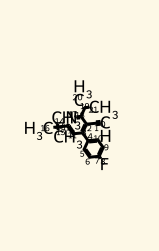 C#Cc1c(-c2ccc(F)cc2)cc(C(C)(C)C)nc1C(C)C